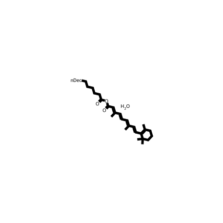 CCCCCCCCCCCCCCCC(=O)OC(=O)/C=C(C)/C=C/C=C(C)/C=C/C1=C(C)CCCC1(C)C.O